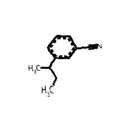 CCC(C)c1cccc(C#N)c1